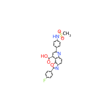 CS(=O)(=O)Nc1ccc(-c2cc(C(=O)O)c3c(ccc4nc(-c5ccc(F)cc5)oc43)n2)cc1